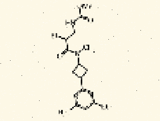 CCc1cc(C)cc(C2CC(N(C)C(=O)C(CC)CNC(=O)OC)C2)c1